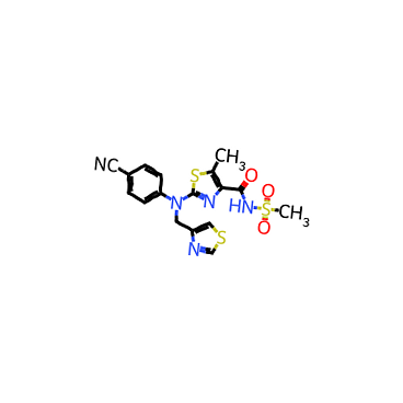 Cc1sc(N(Cc2cscn2)c2ccc(C#N)cc2)nc1C(=O)NS(C)(=O)=O